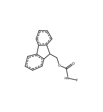 O=C(NF)OCC1c2ccccc2-c2ccccc21